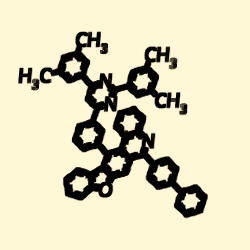 Cc1cc(C)cc(-c2cc(-c3cccc(-c4c5c(cc6c(-c7ccc(-c8ccccc8)cc7)nc7ccccc7c46)oc4ccccc45)c3)nc(-c3cc(C)cc(C)c3)n2)c1